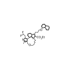 CCOC(=O)c1c(CCCOc2cccc3ccccc23)c2cccc3c2n1CCCCOCc1c-3c(CC(F)F)nn1C